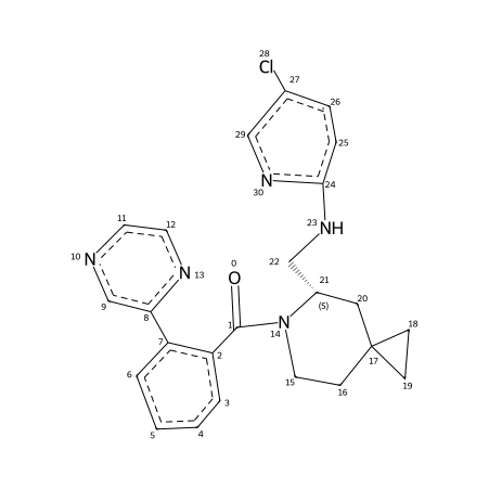 O=C(c1ccccc1-c1cnccn1)N1CCC2(CC2)C[C@H]1CNc1ccc(Cl)cn1